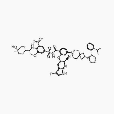 CC(C)c1ccccc1[C@@H]1CCCN1C1CC2(CCN(c3ccc(C(=O)NS(=O)(=O)c4cc5c(c([N+](=O)[O-])c4)N[C@@H]([C@H]4CC[C@](C)(O)CC4)CO5)c(Oc4cc5c(F)c[nH]c5nc4C#N)c3)CC2)C1